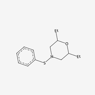 CCC1CN(Sc2ccccc2)CC(CC)O1